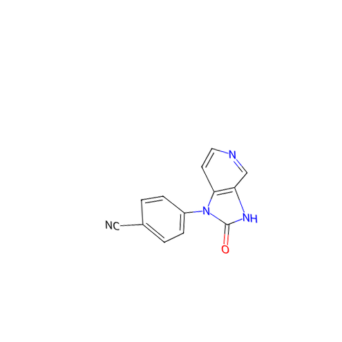 N#Cc1ccc(-n2c(=O)[nH]c3cnccc32)cc1